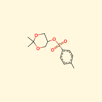 Cc1ccc(S(=O)(=O)OC2COC(C)(C)OC2)cc1